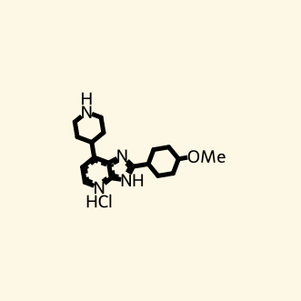 COC1CCC(c2nc3c(C4CCNCC4)ccnc3[nH]2)CC1.Cl